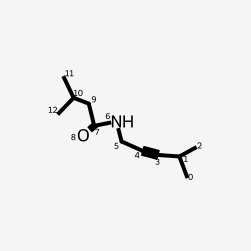 CC(C)C#CCNC(=O)CC(C)C